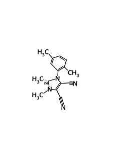 Cc1ccc(C)c(N2C(C#N)=C(C#N)N(C)[C@@H]2C)c1